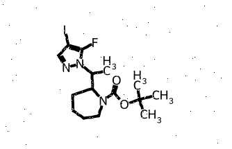 CC(C1CCCCN1C(=O)OC(C)(C)C)n1ncc(I)c1F